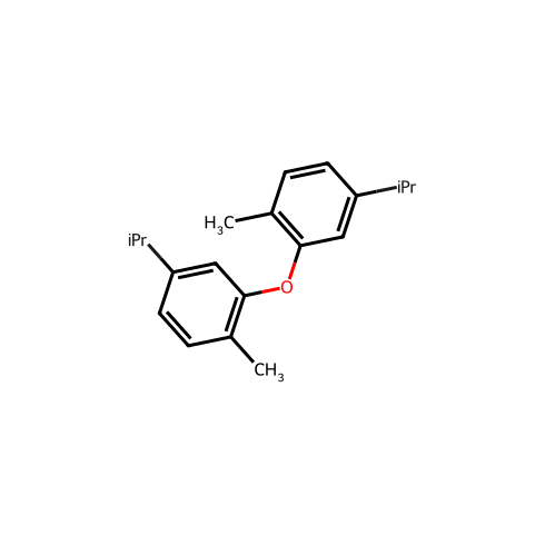 Cc1ccc(C(C)C)cc1Oc1cc(C(C)C)ccc1C